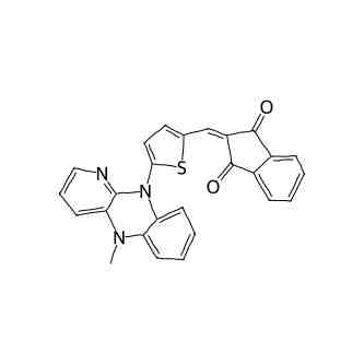 CN1c2ccccc2N(c2ccc(C=C3C(=O)c4ccccc4C3=O)s2)c2ncccc21